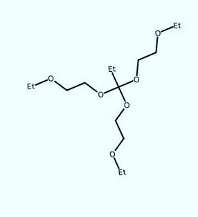 CCOCCOC(CC)(OCCOCC)OCCOCC